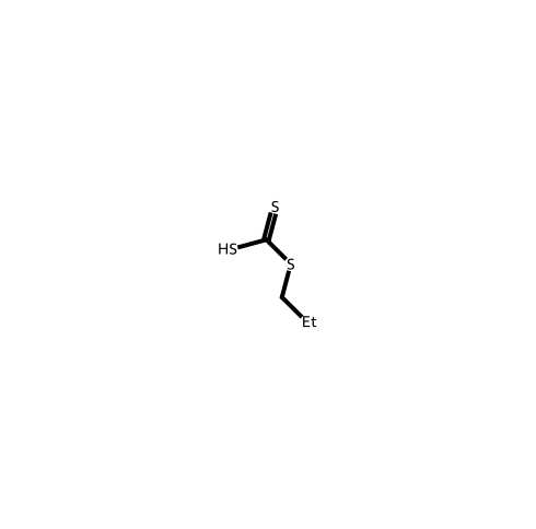 CCCSC(=S)S